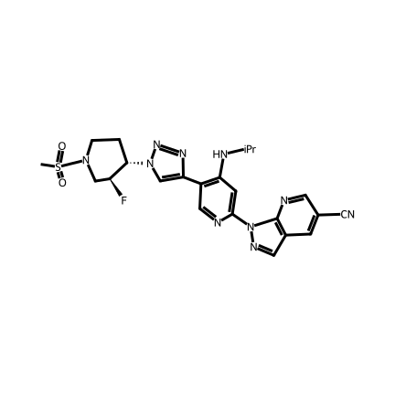 CC(C)Nc1cc(-n2ncc3cc(C#N)cnc32)ncc1-c1cn([C@H]2CCN(S(C)(=O)=O)C[C@@H]2F)nn1